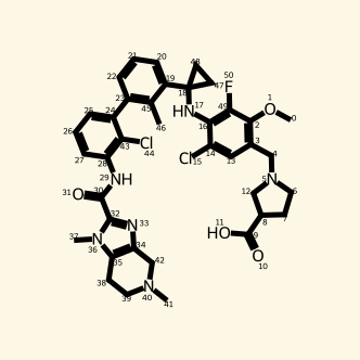 COc1c(CN2CCC(C(=O)O)C2)cc(Cl)c(NC2(c3cccc(-c4cccc(NC(=O)c5nc6c(n5C)CCN(C)C6)c4Cl)c3C)CC2)c1F